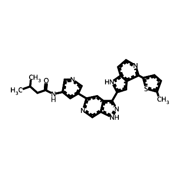 Cc1ccc(-c2nccc3[nH]c(-c4n[nH]c5cnc(-c6cncc(NC(=O)CC(C)C)c6)cc45)cc23)s1